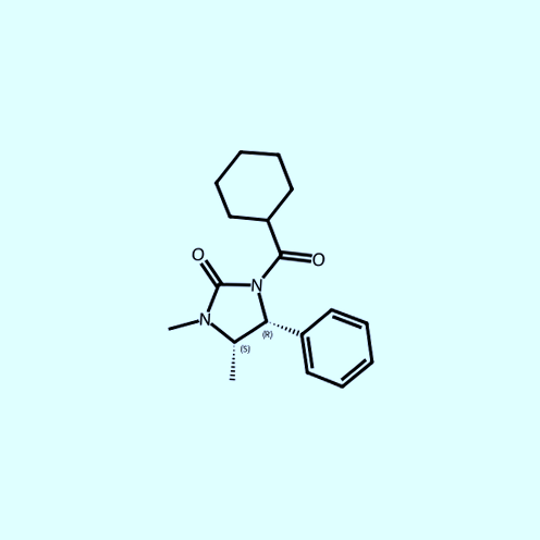 C[C@H]1[C@@H](c2ccccc2)N(C(=O)C2CCCCC2)C(=O)N1C